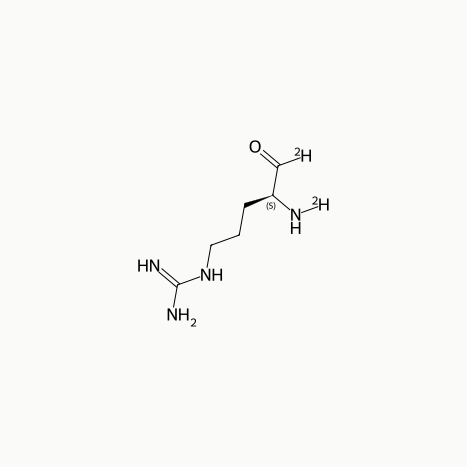 [2H]N[C@@H](CCCNC(=N)N)C([2H])=O